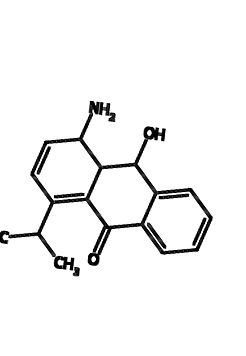 CC(C)C1=C2C(=O)c3ccccc3C(O)C2C(N)C=C1